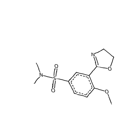 COc1ccc(S(=O)(=O)N(C)C)cc1C1=NCCO1